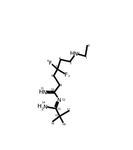 CCNCCC(F)(F)CCC(=N)/N=C(\N)C(C)(C)C